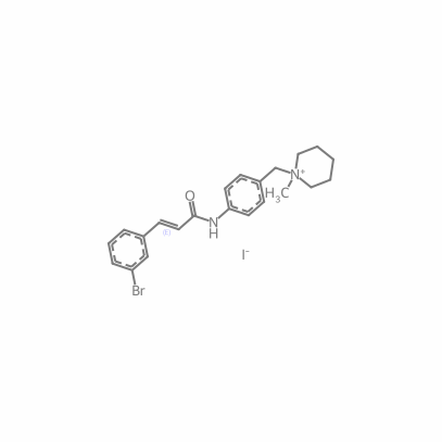 C[N+]1(Cc2ccc(NC(=O)/C=C/c3cccc(Br)c3)cc2)CCCCC1.[I-]